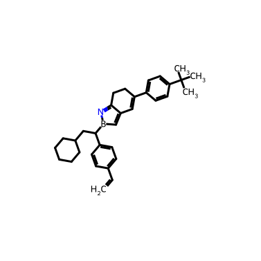 C=Cc1ccc(C(CC2CCCCC2)B2C=C3C=C(c4ccc(C(C)(C)C)cc4)CCC3=N2)cc1